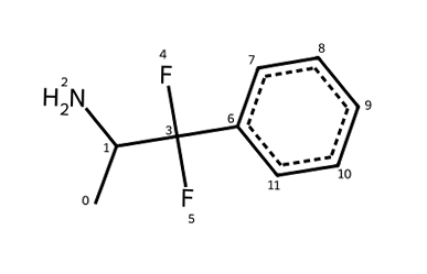 CC(N)C(F)(F)c1ccccc1